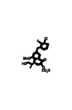 COc1cc(Cc2cccc(Cl)c2F)cc2c(=O)c(OC(=O)O)cn([C@@H](C)CO)c12